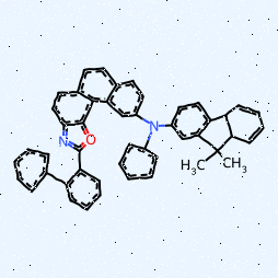 CC1(C)c2cc(N(c3ccccc3)c3ccc4ccc5ccc6nc(-c7ccccc7-c7ccccc7)oc6c5c4c3)ccc2C2C=CC=CC21